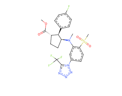 COC(=O)[C@H]1CC[C@H](N(C)c2cc(-n3nnnc3C(F)(F)F)ccc2S(C)(=O)=O)[C@@H]1c1ccc(F)cc1